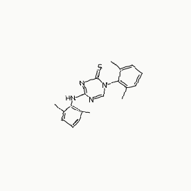 Cc1cccc(C)c1Nc1ncn(-c2c(C)cccc2C)c(=S)n1